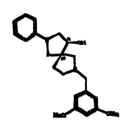 COc1cc(CN2CC[C@]3(C2)SN(c2ccccc2)C[C@@H]3O)cc(OC)c1